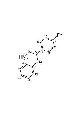 Fc1ccc(C2CNc3ccccc3C2)cc1